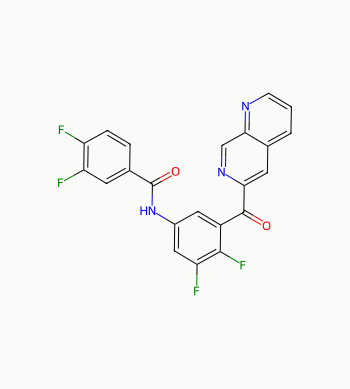 O=C(Nc1cc(F)c(F)c(C(=O)c2cc3cccnc3cn2)c1)c1ccc(F)c(F)c1